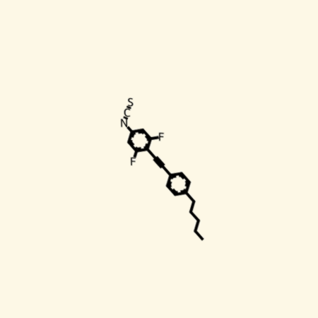 CCCCCc1ccc(C#Cc2c(F)cc(N=C=S)cc2F)cc1